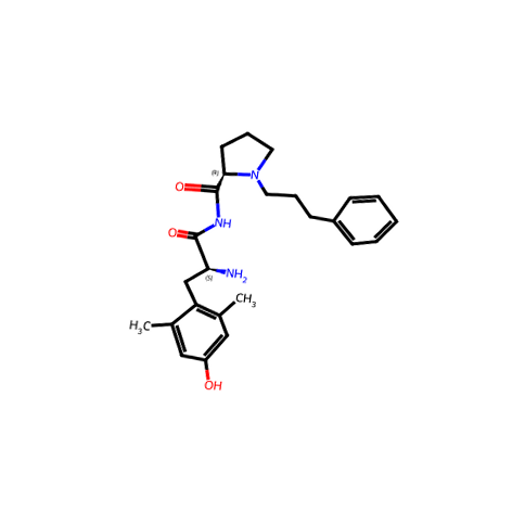 Cc1cc(O)cc(C)c1C[C@H](N)C(=O)NC(=O)[C@H]1CCCN1CCCc1ccccc1